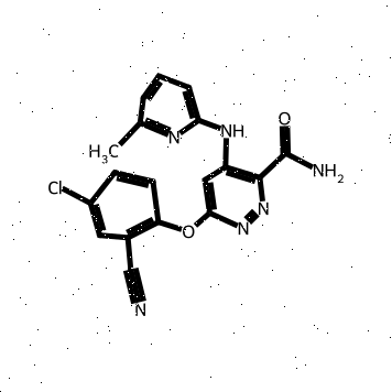 Cc1cccc(Nc2cc(Oc3ccc(Cl)cc3C#N)nnc2C(N)=O)n1